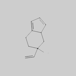 C=CC1(OC(C)=O)CCC2=CC=CC2C1